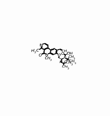 C=Cc1cc2c3ccnc(C)c3c(=O)n(C)c2cc1OC[C@H](CC(C)C)N(C(=O)O)C(C)(C)C